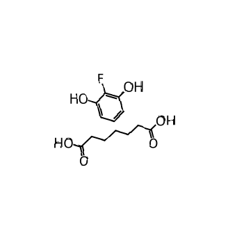 O=C(O)CCCCCC(=O)O.Oc1cccc(O)c1F